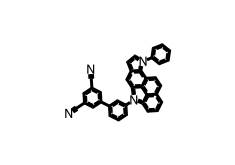 N#Cc1cc(C#N)cc(-c2cccc(-n3c4cccc5ccc6c(c54)c3cc3ccn(-c4ccccc4)c36)c2)c1